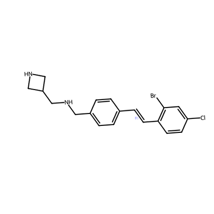 Clc1ccc(/C=C/c2ccc(CNCC3CNC3)cc2)c(Br)c1